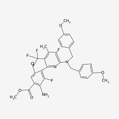 COC(=O)c1cc(Cl)c(-c2nc(N(Cc3ccc(OC)cc3)Cc3ccc(OC)cc3)c(F)c(C)c2C(F)(F)F)c(F)c1N